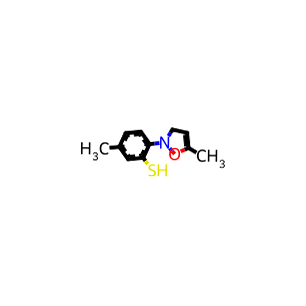 CC1=CCN(c2ccc(C)cc2S)O1